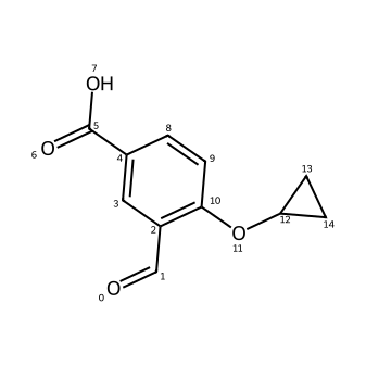 O=Cc1cc(C(=O)O)ccc1OC1CC1